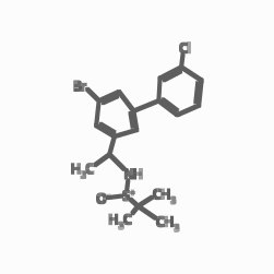 CC(N[S+]([O-])C(C)(C)C)c1cc(Br)cc(-c2cccc(Cl)c2)c1